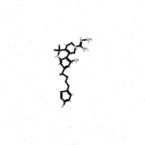 CC(CCCc1ccc(F)cc1)c1cc(O)c2c(c1)OC(C)(C)C1=C2CN(C(N)=NO)CC1